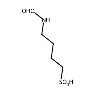 O=CNCCCCS(=O)(=O)O